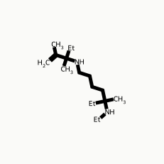 C=C(C)C(C)(CC)NCCCCC(C)(CC)NCC